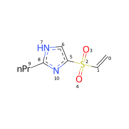 C=CS(=O)(=O)c1c[nH]c(CCC)n1